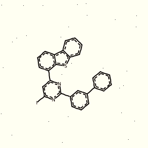 Ic1cc(-c2cccc3c2sc2ccccc23)nc(-c2cccc(-c3ccccc3)c2)n1